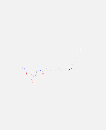 CCCCCCCC/C=C\CCCCCCCC(=O)N[C@H]1C[C@@H](C(=O)NC)N(C=O)C1